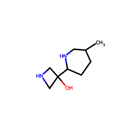 CC1CCC(C2(O)CNC2)NC1